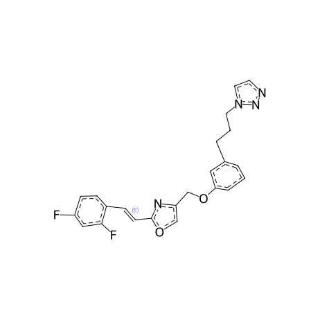 Fc1ccc(/C=C/c2nc(COc3cccc(CCCn4ccnn4)c3)co2)c(F)c1